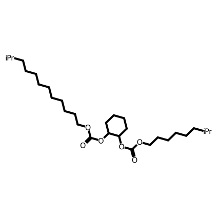 CC(C)CCCCCCCCCCOC(=O)OC1CCCCC1OC(=O)OCCCCCCC(C)C